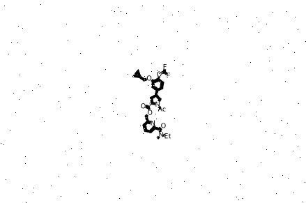 CCN(C)C(=O)c1cccc(COC(=O)[C@@H]2CC(c3ccc(OC(F)F)c(OCC4CC4)c3)CN2C(C)=O)n1